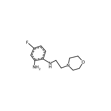 Nc1cc(F)ccc1NCCN1CCOCC1